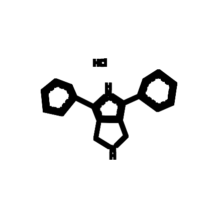 Cl.c1ccc(-c2[nH]c(-c3ccccc3)c3c2CNC3)cc1